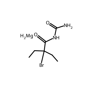 CCC(Br)(CC)C(=O)NC(N)=O.[MgH2]